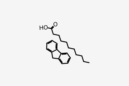 CCCCCCCCCCC(=O)O.c1ccc2c(c1)Cc1ccccc1-2